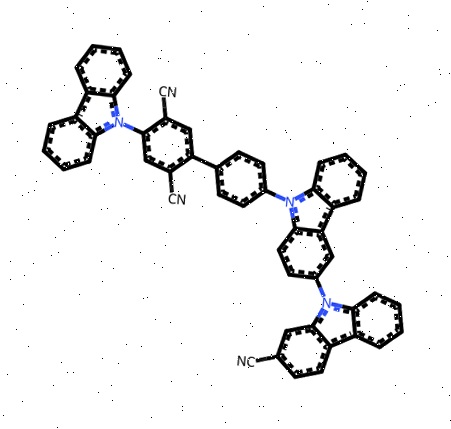 N#Cc1ccc2c3ccccc3n(-c3ccc4c(c3)c3ccccc3n4-c3ccc(-c4cc(C#N)c(-n5c6ccccc6c6ccccc65)cc4C#N)cc3)c2c1